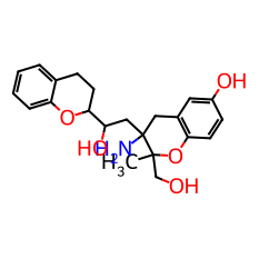 CC1(CO)Oc2ccc(O)cc2CC1(N)CC(O)C1CCc2ccccc2O1